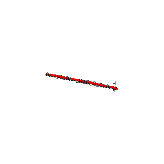 C=C(C)C(=O)NCCOCCOCCOCCOCCOCCOCCOCCOCCOCCOCCOCCOCCOCCOCCOCCOCCOCCOCCOCCOC